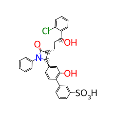 O=C1[C@H](CC[C@H](O)c2ccccc2Cl)[C@@H](c2ccc(-c3cccc(S(=O)(=O)O)c3)c(O)c2)N1c1ccccc1